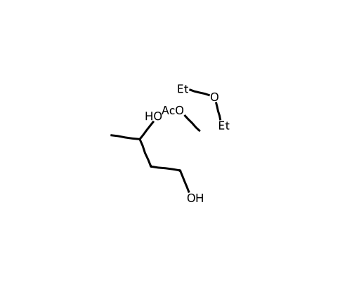 CC(O)CCO.CCOCC.COC(C)=O